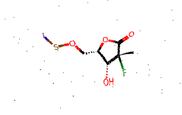 C[C@]1(F)C(=O)O[C@@H](COSI)[C@H]1O